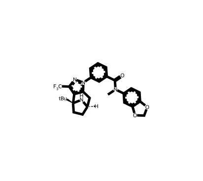 CN(C(=O)c1cccc(-n2nc(C(F)(F)F)c3c2C[C@H]2CC[C@@]3(C(C)(C)C)N2)c1)c1ccc2c(c1)OCO2